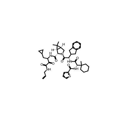 C=CCNC(=O)C(=O)C(CC1CC1)NC(=O)[C@@H]1[C@@H]2[C@H](CN1C(=O)[C@@H](NC(=O)[C@@H](NC(=O)c1cccs1)C1(C)CCCCC1)C1Cc3ccccc3C1)C2(C)C